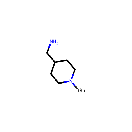 CC(C)(C)N1CCC(CN)CC1